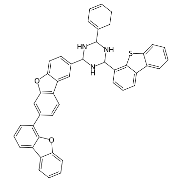 C1=CCCC(C2NC(c3ccc4oc5cc(-c6cccc7c6oc6ccccc67)ccc5c4c3)NC(c3cccc4c3sc3ccccc34)N2)=C1